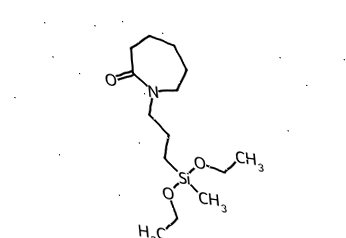 CCO[Si](C)(CCCN1CCCCCC1=O)OCC